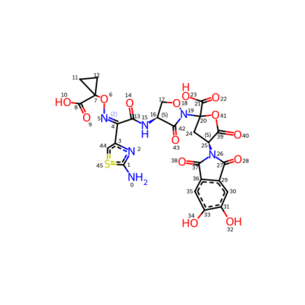 Nc1nc(/C(=N/OC2(C(=O)O)CC2)C(=O)N[C@H]2CON(C3(C(=O)O)C[C@H](N4C(=O)c5cc(O)c(O)cc5C4=O)C(=O)O3)C2=O)cs1